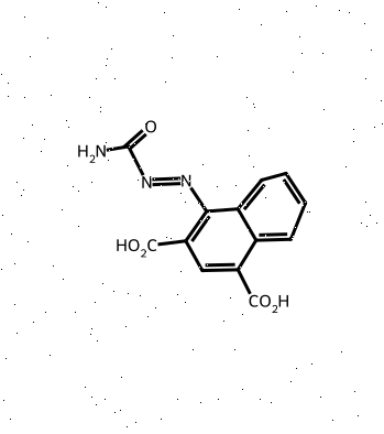 NC(=O)N=Nc1c(C(=O)O)cc(C(=O)O)c2ccccc12